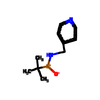 CC(C)(C)[S+]([O-])NCc1ccncc1